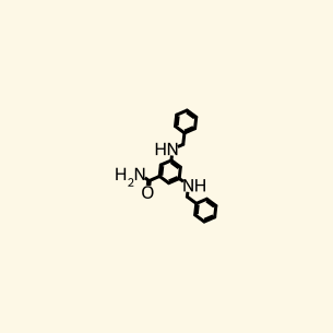 NC(=O)c1cc(NCc2ccccc2)cc(NCc2ccccc2)c1